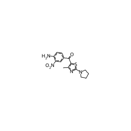 Cc1nc(N2CCCC2)sc1C(=O)c1ccc(N)c([N+](=O)[O-])c1